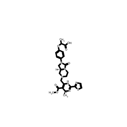 COC(=O)C1=C(CN2CCN3C(=O)N(c4ccc(OC(C)C(=O)O)cc4)C[C@@H]3C2)NC(c2nccs2)=N[C@H]1C